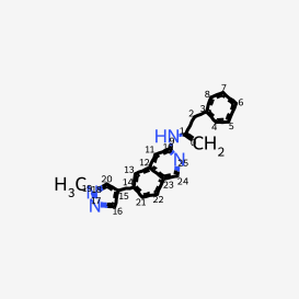 C=C(Cc1ccccc1)Nc1cc2cc(-c3cnn(C)c3)ccc2cn1